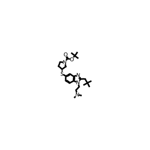 CN(C)CCn1c(CC(C)(C)C)nc2cc(S[C@H]3CCN(C(=O)OC(C)(C)C)C3)ccc21